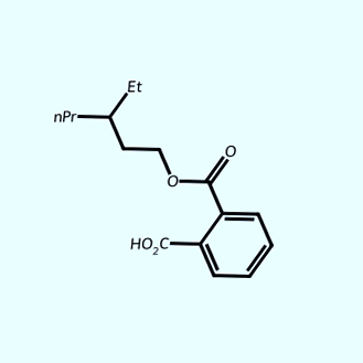 CCCC(CC)CCOC(=O)c1ccccc1C(=O)O